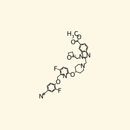 COC(=O)c1ccc2nc(CN3CCC(Oc4ccc(F)c(COc5ccc(C#N)cc5F)n4)CC3)n(C[C@@H]3CCO3)c2c1